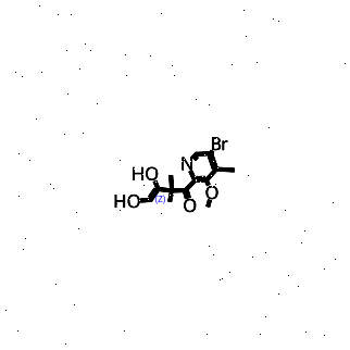 COc1c(C(=O)C(C)(C)/C(O)=C/O)ncc(Br)c1C